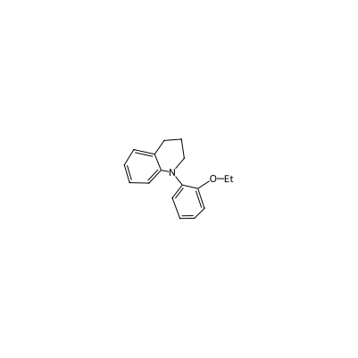 CCOc1ccccc1N1CCCc2ccccc21